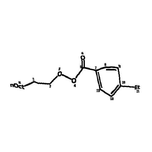 [CH2]CCCCCCCCCOOC(=O)c1ccc(CC)cc1